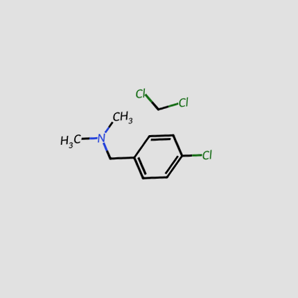 CN(C)Cc1ccc(Cl)cc1.ClCCl